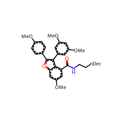 CCCCCCCCCCCCNC(=O)c1cc(OC)cc2oc(-c3ccc(OC)cc3)c(-c3cc(OC)cc(OC)c3)c12